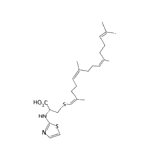 CC(C)=CCCC(C)=CCCC(C)=CCCC(C)=CSCC(Nc1nccs1)C(=O)O